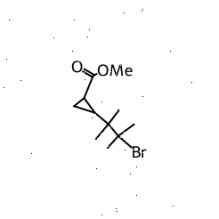 COC(=O)C1CC1C(C)(C)C(C)(C)Br